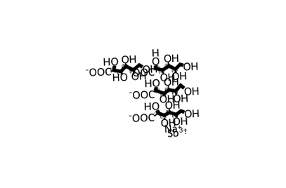 O=C([O-])[C@H](O)[C@@H](O)[C@H](O)[C@H](O)CO.O=C([O-])[C@H](O)[C@@H](O)[C@H](O)[C@H](O)CO.O=C([O-])[C@H](O)[C@@H](O)[C@H](O)[C@H](O)CO.O=C([O-])[C@H](O)[C@@H](O)[C@H](O)[C@H](O)CO.[Na+].[Sb+3]